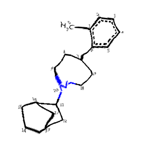 Cc1ccccc1C1CCN(C2CC3CCC2C3)CC1